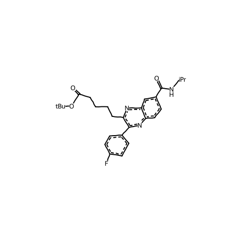 CC(C)NC(=O)c1ccc2nc(-c3ccc(F)cc3)c(CCCCC(=O)OC(C)(C)C)nc2c1